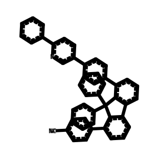 N#Cc1ccc(-c2cccc3c2C(c2ccccc2)(c2ccccc2)c2c(-c4ccc(-c5ccc(-c6ccccc6)nc5)cc4)cccc2-3)cc1